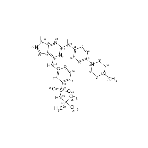 CN1CCN(c2ccc(Nc3nc(Nc4cccc(S(=O)(=O)NC(C)(C)C)c4)c4cn[nH]c4n3)cc2)CC1